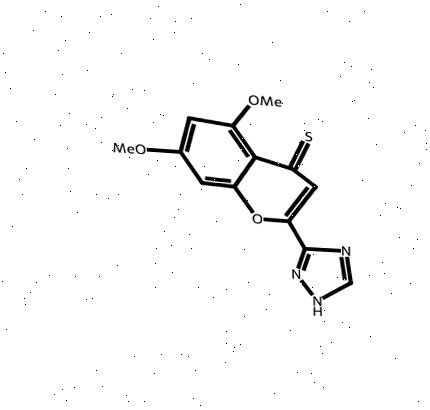 COc1cc(OC)c2c(=S)cc(-c3nc[nH]n3)oc2c1